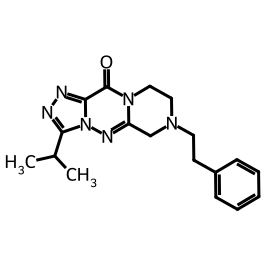 CC(C)c1nnc2c(=O)n3c(nn12)CN(CCc1ccccc1)CC3